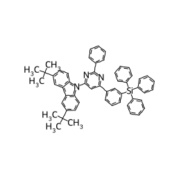 CC(C)(C)c1ccc2c(c1)c1cc(C(C)(C)C)ccc1n2-c1cc(-c2cccc([Si](c3ccccc3)(c3ccccc3)c3ccccc3)c2)nc(-c2ccccc2)n1